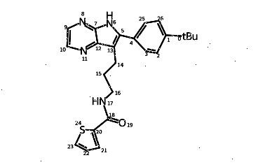 CC(C)(C)c1ccc(-c2[nH]c3nccnc3c2CCCNC(=O)c2cccs2)cc1